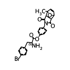 CC12C=CC(O1)C1C(=O)N(c3ccc(OC(=O)[C@@H](N)Cc4ccc(Br)cc4)cc3)C(=O)C12